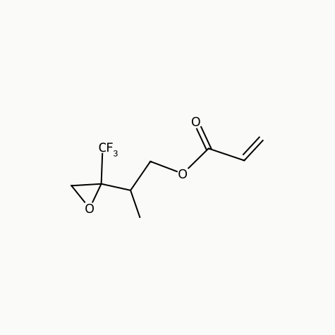 C=CC(=O)OCC(C)C1(C(F)(F)F)CO1